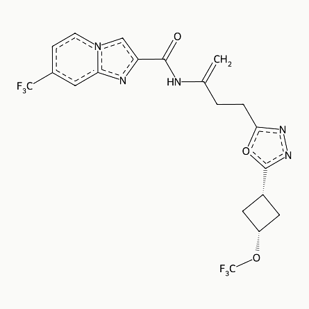 C=C(CCc1nnc([C@H]2C[C@@H](OC(F)(F)F)C2)o1)NC(=O)c1cn2ccc(C(F)(F)F)cc2n1